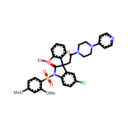 CCOc1ccccc1C1(CC(=O)N2CCN(c3ccncc3)CC2)C(=O)N(S(=O)(=O)c2ccc(OC)cc2OC)c2ccc(Cl)cc21